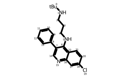 CC(C)(C)NCCCNc1c(-c2ccccc2)cnc2cc(Cl)ccc12